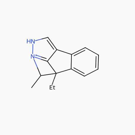 CCC12c3ccccc3-c3c[nH][n+](c31)C2C